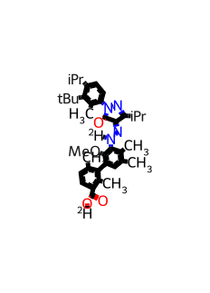 [2H]OC(=O)c1ccc(C)c(-c2cc(C)c(C)c(N([2H])/N=C3\C(=O)N(c4ccc(C(C)C)c(C(C)(C)C)c4C)N=C3C(C)C)c2OC)c1C